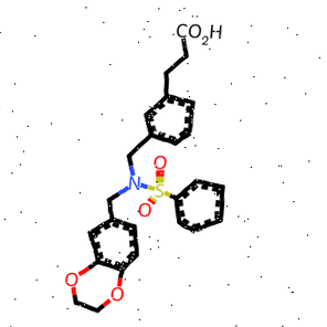 O=C(O)CCc1cccc(CN(Cc2ccc3c(c2)OCCO3)S(=O)(=O)c2ccccc2)c1